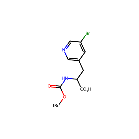 CC(C)(C)OC(=O)NC(Cc1cncc(Br)c1)C(=O)O